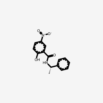 C[C@H](NC(=O)c1cc([N+](=O)[O-])ccc1O)c1ccccc1